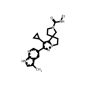 CCNC(=O)N1CCC2(CCn3nc(-c4cnc5[nH]cc(C)c5c4)c(C4CC4)c32)C1